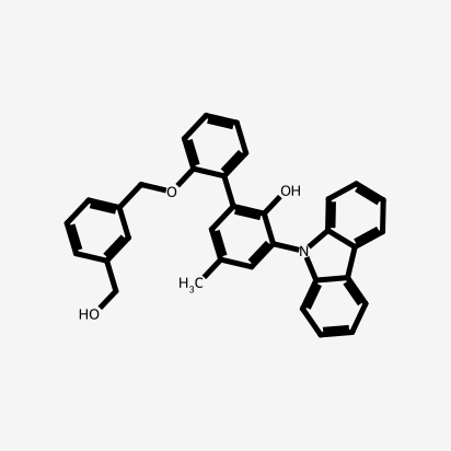 Cc1cc(-c2ccccc2OCc2cccc(CO)c2)c(O)c(-n2c3ccccc3c3ccccc32)c1